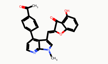 CC(=O)c1ccc(-c2ccnc3c2c(/C=C2\Oc4cccc(O)c4C2=O)cn3C)cc1